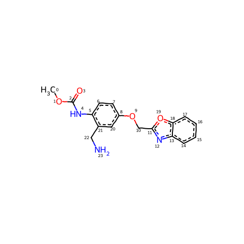 COC(=O)Nc1ccc(OCc2nc3ccccc3o2)cc1CN